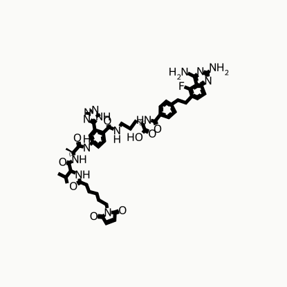 CC(C)C(NC(=O)CCCCCN1C(=O)C=CC1=O)C(=O)N[C@@H](C)C(=O)Nc1ccc(C(=O)NCCC[C@H](NC(=O)c2ccc(CCc3ccc4nc(N)nc(N)c4c3F)cc2)C(=O)O)c(-c2nnn[nH]2)c1